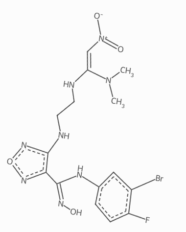 CN(C)/C(=C\[N+](=O)[O-])NCCNc1nonc1/C(=N/O)Nc1ccc(F)c(Br)c1